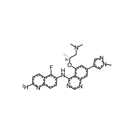 [2H]c1ccc2c(F)c(Nc3ncnc4cc(-c5cnn(C)c5)cc(O[C@H](C)CN(C)C)c34)ccc2n1